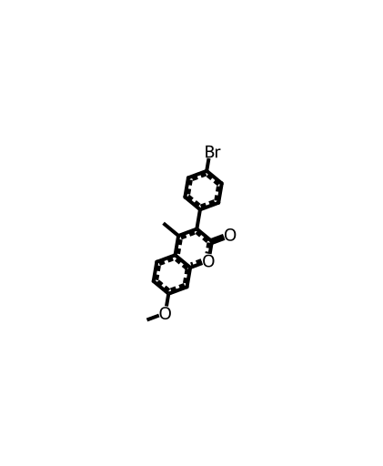 COc1ccc2c(C)c(-c3ccc(Br)cc3)c(=O)oc2c1